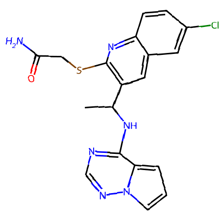 CC(Nc1ncnn2cccc12)c1cc2cc(Cl)ccc2nc1SCC(N)=O